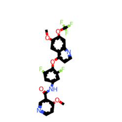 COc1cc2c(Oc3c(F)cc(NC(=O)c4cnccc4OC)cc3F)ccnc2cc1OC(F)(F)F